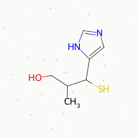 CC(CO)C(S)c1cnc[nH]1